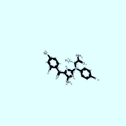 C[C@H](C(N)=O)N(c1ccc(F)cc1)c1nc(N)c(C(=O)c2ccc(C#N)cc2F)s1